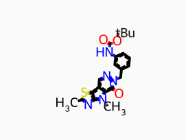 Cc1nc2c(s1)c1cnn(Cc3cccc(NC(=O)OC(C)(C)C)c3)c(=O)c1n2C